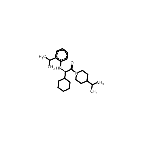 CC(C)c1ccccc1N[C@@H](C(=O)N1CCC(C(C)C)CC1)C1CCCCC1